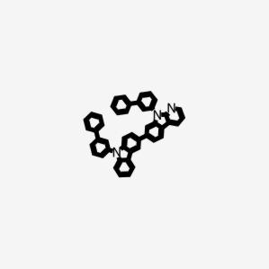 c1ccc(-c2cccc(-n3c4ccccc4c4cc(-c5ccc6c7cccnc7n(-c7cccc(-c8ccccc8)c7)c6c5)ccc43)c2)cc1